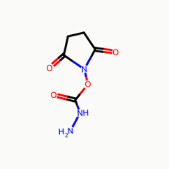 NNC(=O)ON1C(=O)CCC1=O